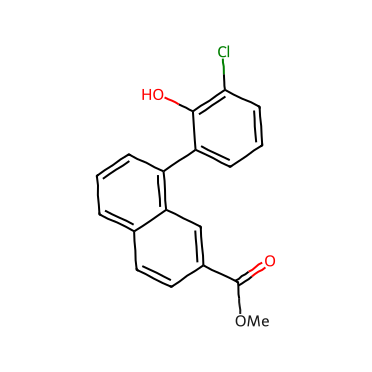 COC(=O)c1ccc2cccc(-c3cccc(Cl)c3O)c2c1